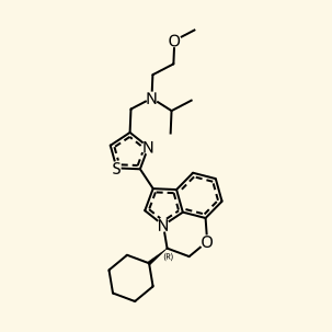 COCCN(Cc1csc(-c2cn3c4c(cccc24)OC[C@H]3C2CCCCC2)n1)C(C)C